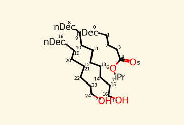 CCCCCCCCCCCCCC(=O)OC(C)C.CCCCCCCCCCCCCCCCCCO.CCCCCCCCCCCCCCCCO